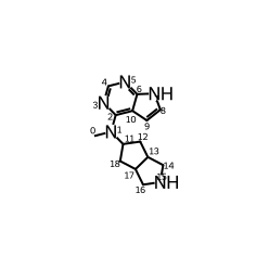 CN(c1ncnc2[nH]ccc12)C1CC2CNCC2C1